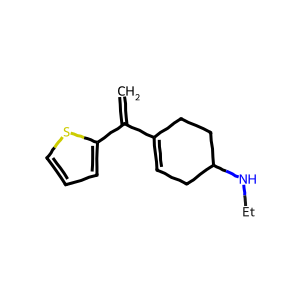 C=C(C1=CCC(NCC)CC1)c1cccs1